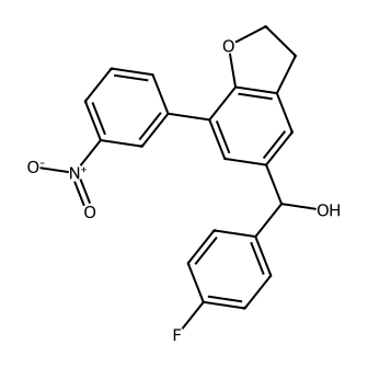 O=[N+]([O-])c1cccc(-c2cc(C(O)c3ccc(F)cc3)cc3c2OCC3)c1